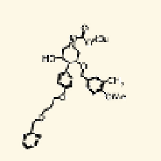 COc1ccc(COC2CN(OC(=O)OC(C)(C)C)CC(O)C2c2ccc(OCCCOCc3ccccc3)cc2)cc1C